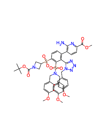 COC(=O)c1ccc(-c2ccc(S(=O)(=O)C3CN(C(=O)OC(C)(C)C)C3)c(S(=O)(=O)N(Cc3ccc(OC)cc3)Cc3ccc(OC)cc3)c2-c2nnnn2Cc2ccc(OC)cc2)c(N)n1